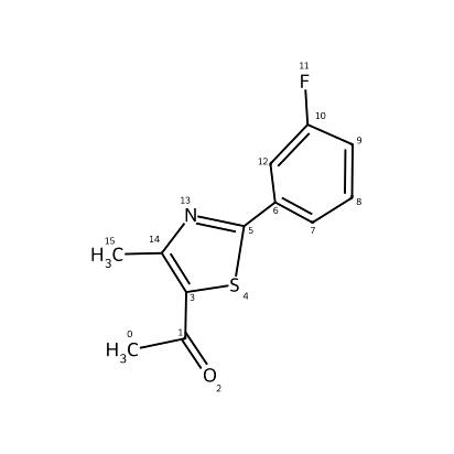 CC(=O)c1sc(-c2cccc(F)c2)nc1C